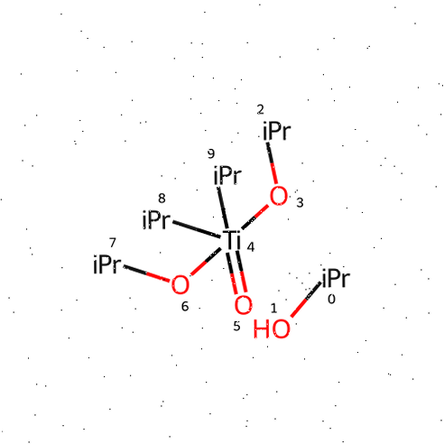 CC(C)O.CC(C)[O][Ti](=[O])([O]C(C)C)([CH](C)C)[CH](C)C